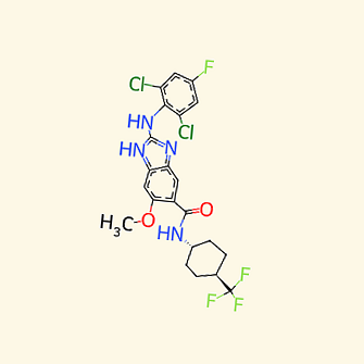 COc1cc2[nH]c(Nc3c(Cl)cc(F)cc3Cl)nc2cc1C(=O)N[C@H]1CC[C@H](C(F)(F)F)CC1